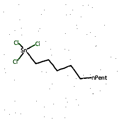 CCCCCCCCC[CH2][Sn]([Cl])([Cl])[Cl]